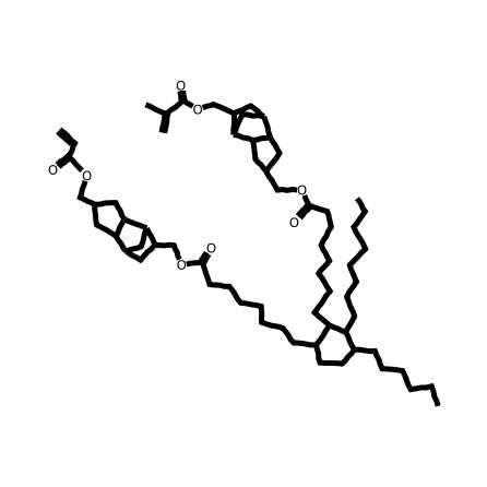 C=CC(=O)OCC1CC2C3CC(COC(=O)CCCCCCCC4CCC(CCCCCC)C(CCCCCCCC)C4CCCCCCCC(=O)OCC4CC5C6CC(COC(=O)C(=C)C)C(C6)C5C4)C(C3)C2C1